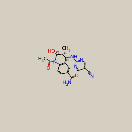 CC(=O)N1c2ccc(C(N)=O)cc2[C@H](Nc2ncc(C#N)cn2)[C@@H](C)[C@@H]1O